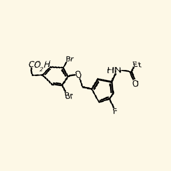 CCC(=O)Nc1cc(F)cc(COc2c(Br)cc(CC(=O)O)cc2Br)c1